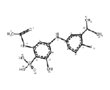 CC(=O)Nc1cc(Nc2ccc(F)c(C(C)C)c2)cc(O)c1[As](=O)(O)O